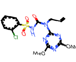 C=CCN(C(=O)NS(=O)(=O)c1ccccc1Cl)c1nc(OC)nc(OC)n1